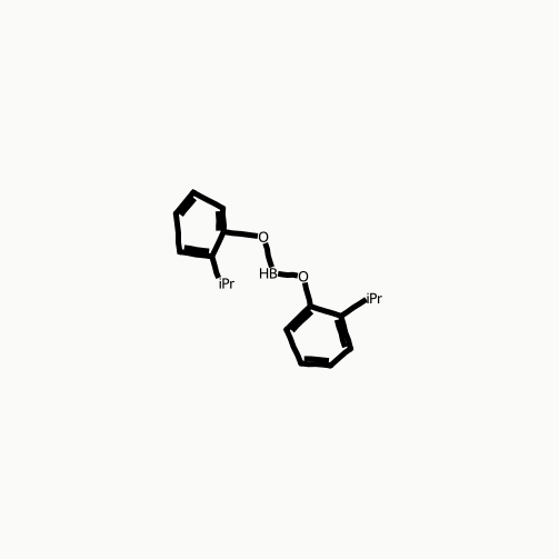 CC(C)c1ccccc1OBOc1ccccc1C(C)C